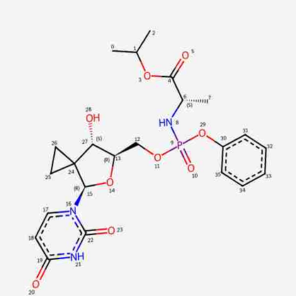 CC(C)OC(=O)[C@H](C)NP(=O)(OC[C@H]1O[C@@H](n2ccc(=O)[nH]c2=O)C2(CC2)[C@@H]1O)Oc1ccccc1